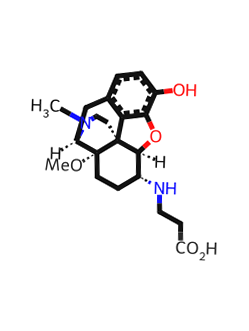 CO[C@@]12CC[C@@H](NCCC(=O)O)[C@@H]3Oc4c(O)ccc5c4[C@@]31CCN(C)[C@@H]2C5